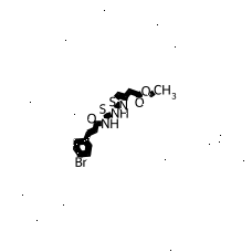 CCOC(=O)Cc1csc(NC(=S)NC(=O)C=Cc2ccc(Br)cc2)n1